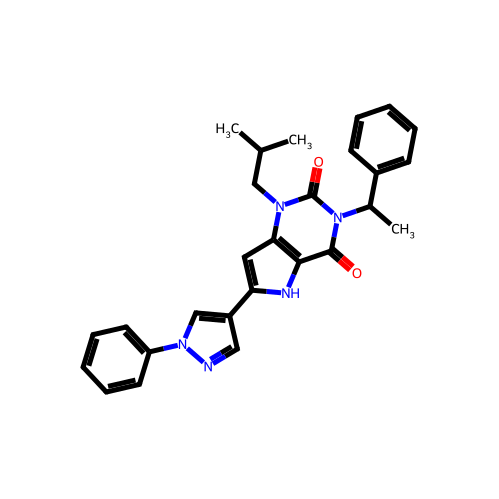 CC(C)Cn1c(=O)n(C(C)c2ccccc2)c(=O)c2[nH]c(-c3cnn(-c4ccccc4)c3)cc21